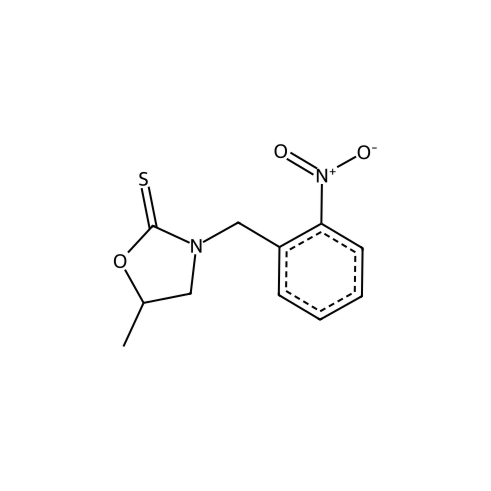 CC1CN(Cc2ccccc2[N+](=O)[O-])C(=S)O1